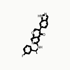 C[C@H](Nc1cc2c(=O)c(-c3ccc4cn[nH]c4c3)coc2cn1)c1cccc(F)c1